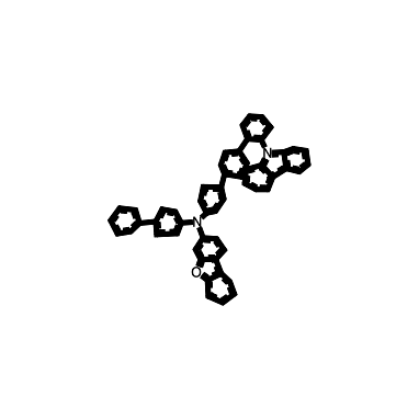 c1ccc(-c2ccc(N(c3ccc(-c4ccc(-c5ccccc5-n5c6ccccc6c6ccccc65)cc4)cc3)c3ccc4c(c3)oc3ccccc34)cc2)cc1